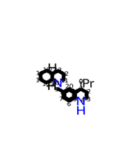 CC(C)C1CCNc2ccc(CN3CCC[C@H]4CCCC[C@@H]43)cc21